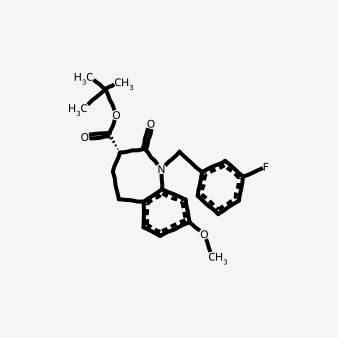 COc1ccc2c(c1)N(Cc1cccc(F)c1)C(=O)[C@@H](C(=O)OC(C)(C)C)CC2